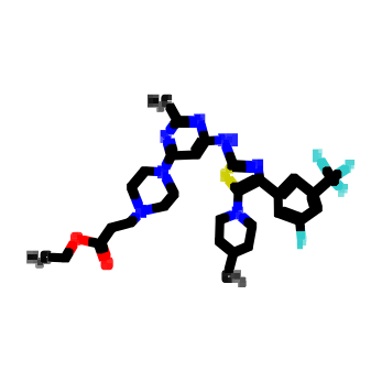 CCOC(=O)CCN1CCN(c2cc(Nc3nc(-c4cc(F)cc(C(F)(F)F)c4)c(N4CCC(C)CC4)s3)nc(C)n2)CC1